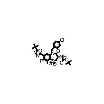 Cc1c(F)c(-c2nnc(C(C)(C)C)o2)cc2c1S(=O)(=O)C[C@H](NC(=O)OC(C)(C)C)C(=O)N2Cc1ccc(Cl)cc1